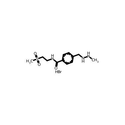 Br.CNNCc1ccc(C(=O)NCCS(C)(=O)=O)cc1